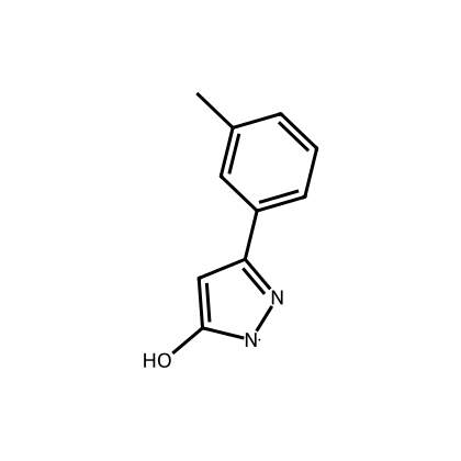 Cc1cccc(C2=N[N]C(O)=C2)c1